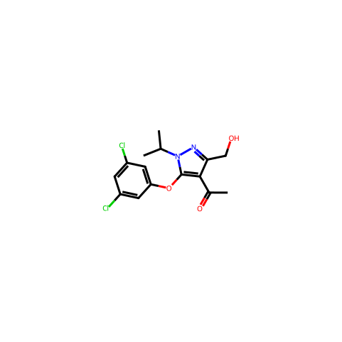 CC(=O)c1c(CO)nn(C(C)C)c1Oc1cc(Cl)cc(Cl)c1